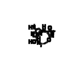 CNc1cc2nn3c(cnc13)C(O)N[C@H](C)CCOc1cc(c(=O)n(C)n1)N2